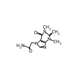 C=C1N(C)C(=O)c2c(ncn2CC(N)=O)N1C